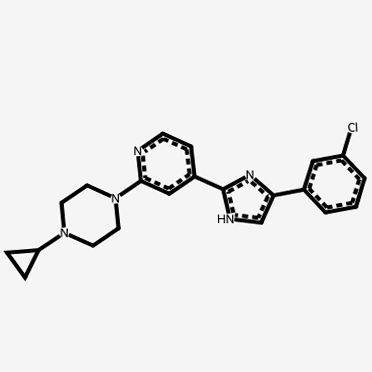 Clc1cccc(-c2c[nH]c(-c3ccnc(N4CCN(C5CC5)CC4)c3)n2)c1